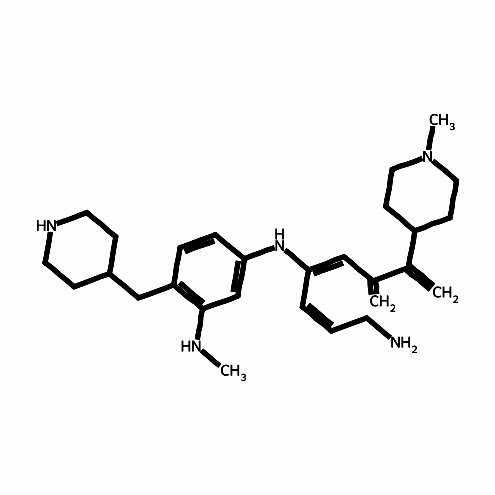 C=C(/C=C(\C=C/CN)Nc1ccc(CC2CCNCC2)c(NC)c1)C(=C)C1CCN(C)CC1